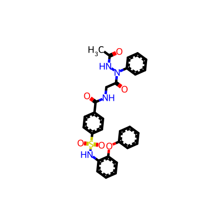 CC(=O)NN(C(=O)CNC(=O)c1ccc(S(=O)(=O)Nc2ccccc2Oc2ccccc2)cc1)c1ccccc1